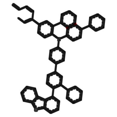 C=C/C=C\C(=C/C)c1ccc(N(c2ccc(-c3ccccc3)cc2)c2ccc(-c3ccc(-c4cccc5oc6ccccc6c45)c(-c4ccccc4)c3)cc2)c(-c2ccccc2)c1